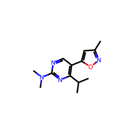 Cc1cc(-c2cnc(N(C)C)nc2C(C)C)on1